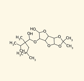 CC(C)CC(C)(C(C)C)C(O)OC1C(O)OC2C3OC(C)(C)OC3OC12